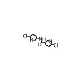 O=C(Nc1ccc(Cl)nc1)c1ccc(Cl)nc1